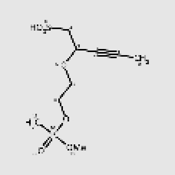 CC#CC(CS(=O)(=O)O)OCCOP(C)(=O)OC